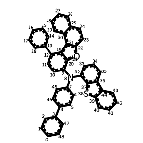 c1ccc(-c2ccc(N(c3ccc(-c4ccccc4)c4c3oc3ccc5ccccc5c34)c3cccc4c3sc3ccccc34)cc2)cc1